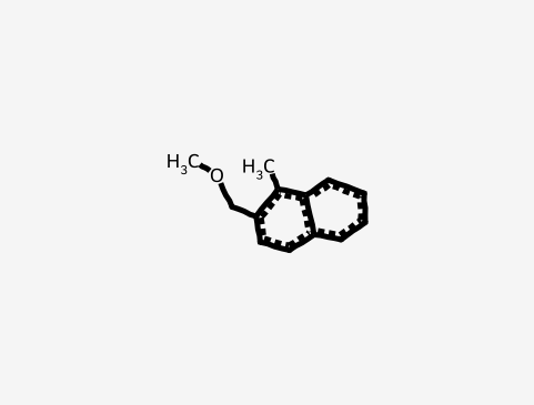 COCc1ccc2ccccc2c1C